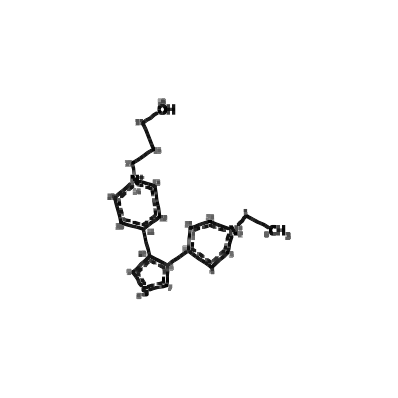 CC[n+]1ccc(-c2cscc2-c2cc[n+](CCCO)cc2)cc1